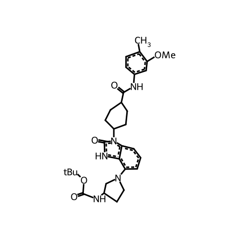 COc1cc(NC(=O)C2CCC(n3c(=O)[nH]c4c(N5CCC(NC(=O)OC(C)(C)C)C5)cccc43)CC2)ccc1C